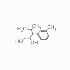 Cc1cccc(C(C(C)C)C(O)CO)c1